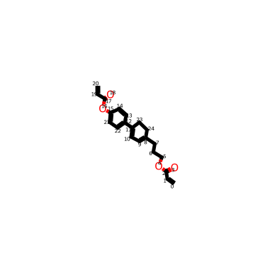 C=CC(=O)OCCCC1=CC=C(c2ccc(OC(=O)C=C)cc2)CC1